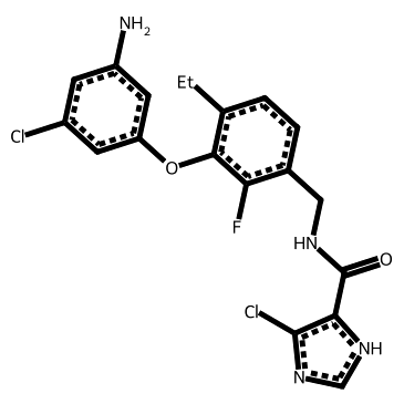 CCc1ccc(CNC(=O)c2[nH]cnc2Cl)c(F)c1Oc1cc(N)cc(Cl)c1